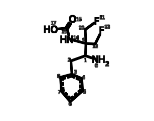 NC(Cc1ccccc1)C(CF)(CF)NC(=O)O